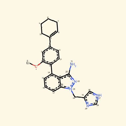 CCOc1cc(C2=CCCCC2)ccc1-c1cccc2c1c(N)nn2Cc1c[nH]cn1